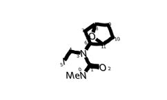 CNC(=O)N(CI)C1CC2CCC1O2